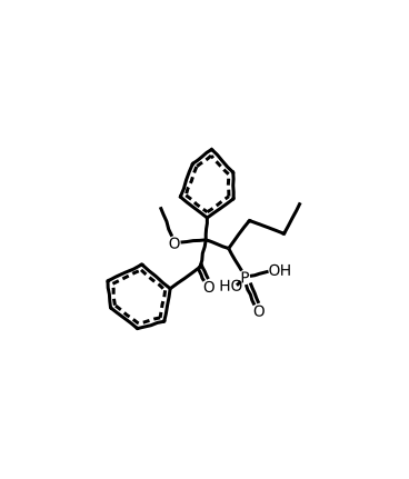 CCCC(C(OC)(C(=O)c1ccccc1)c1ccccc1)P(=O)(O)O